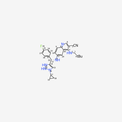 CC(C)(C)CNc1c(C#N)cnc2ccc(N[C@H](C3=CN(C4CC4)NN3)c3ccc(F)cc3)cc12